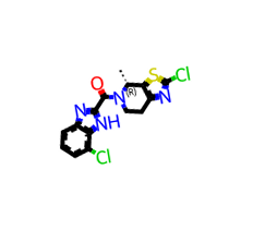 C[C@@H]1c2sc(Cl)nc2CCN1C(=O)c1nc2cccc(Cl)c2[nH]1